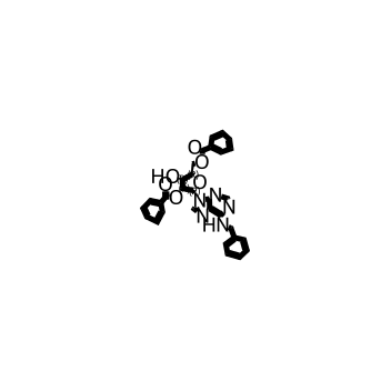 O=C(OC[C@H]1O[C@@H](n2cnc3c(NCc4ccccc4)ncnc32)[C@H](OC(=O)c2ccccc2)[C@@H]1O)c1ccccc1